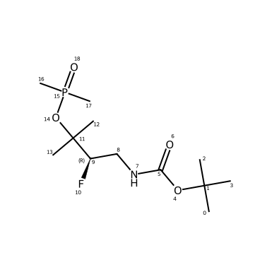 CC(C)(C)OC(=O)NC[C@@H](F)C(C)(C)OP(C)(C)=O